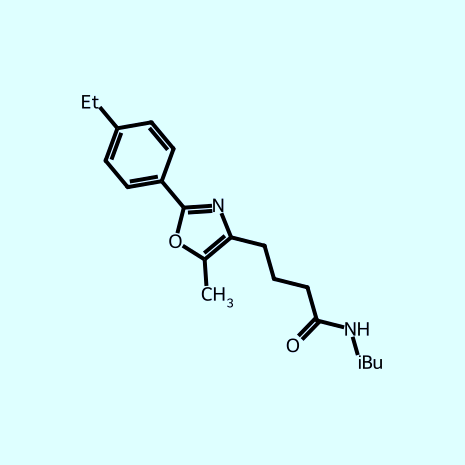 CCc1ccc(-c2nc(CCCC(=O)NC(C)CC)c(C)o2)cc1